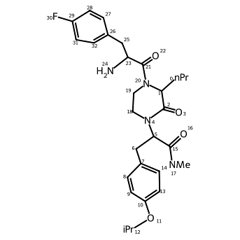 CCCC1C(=O)N(C(Cc2ccc(OC(C)C)cc2)C(=O)NC)CCN1C(=O)C(N)Cc1ccc(F)cc1